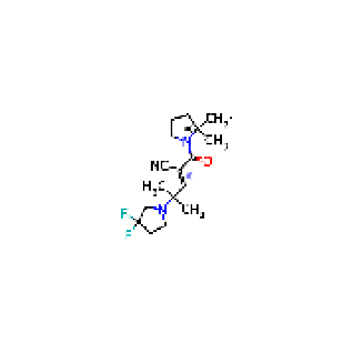 [CH2][C@@]1(C)CCCN1C(=O)/C(C#N)=C/C(C)(C)N1CCC(F)(F)C1